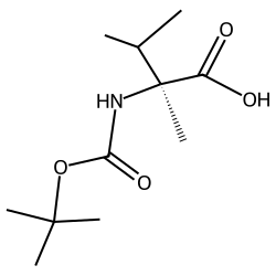 CC(C)[C@](C)(NC(=O)OC(C)(C)C)C(=O)O